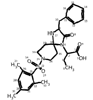 CCC(C(=O)O)N1C(=O)C(Cc2ccccc2)NC12CCN(S(=O)(=O)c1c(C)cc(C)cc1C)CC2